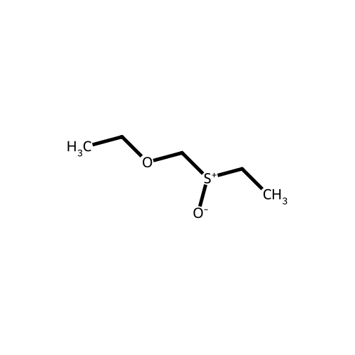 CCOC[S+]([O-])CC